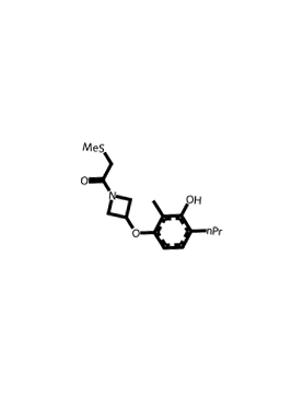 CCCc1ccc(OC2CN(C(=O)CSC)C2)c(C)c1O